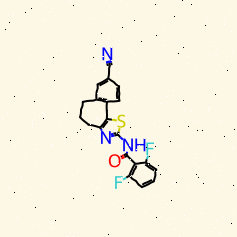 N#Cc1ccc2c(c1)CCCc1nc(NC(=O)c3c(F)cccc3F)sc1-2